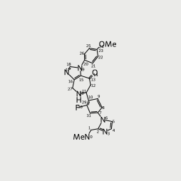 CNCc1nccn1-c1ccc(C2CC(=O)c3c(ncn3-c3ccc(OC)cc3)CN2)c(F)c1